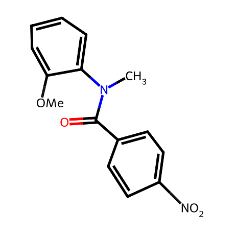 COc1ccccc1N(C)C(=O)c1ccc([N+](=O)[O-])cc1